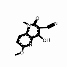 COc1ccc2c(n1)c(O)c(C#N)c(=O)n2C